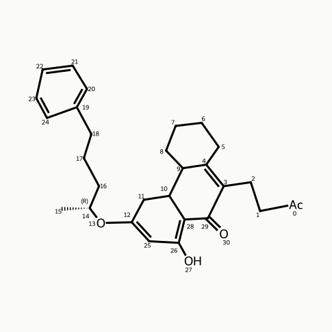 CC(=O)CCC1=C2CCCCC2C2CC(O[C@H](C)CCCc3ccccc3)=CC(O)=C2C1=O